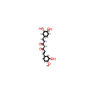 COc1ccc(/C=C/C(=O)CC(=O)/C=C/c2ccc(O)c(O)c2)cc1O